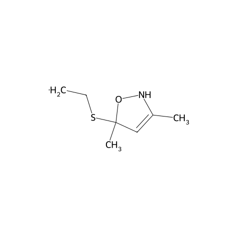 [CH2]CSC1(C)C=C(C)NO1